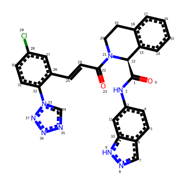 O=C(Nc1ccc2cn[nH]c2c1)[C@@H]1c2ccccc2CCN1C(=O)C=Cc1cc(Cl)ccc1-n1cnnn1